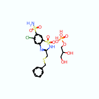 NS(=O)(=O)c1cc2c(cc1Cl)N=C(CSCc1ccccc1)NS2(=O)=O.O=P(O)(O)OCC(O)CO